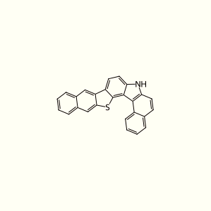 c1ccc2cc3c(cc2c1)sc1c3ccc2[nH]c3ccc4ccccc4c3c21